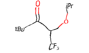 CC(C)OC(C(=O)C(C)(C)C)C(F)(F)F